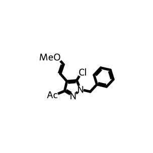 COC=Cc1c(C(C)=O)nn(Cc2ccccc2)c1Cl